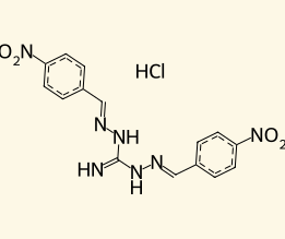 Cl.N=C(NN=Cc1ccc([N+](=O)[O-])cc1)NN=Cc1ccc([N+](=O)[O-])cc1